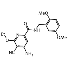 CCOc1nc(C(=O)NCc2cc(OC)ccc2OC)cc(N)c1C#N